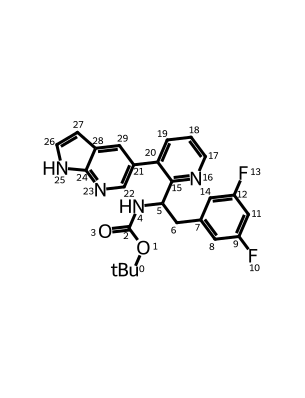 CC(C)(C)OC(=O)NC(Cc1cc(F)cc(F)c1)c1ncccc1-c1cnc2[nH]ccc2c1